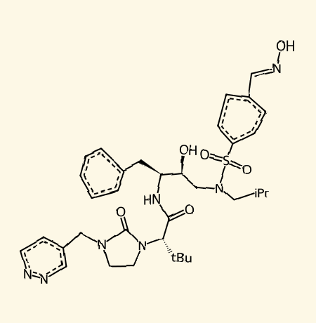 CC(C)CN(C[C@H](O)[C@H](Cc1ccccc1)NC(=O)[C@@H](N1CCN(Cc2ccnnc2)C1=O)C(C)(C)C)S(=O)(=O)c1ccc(C=NO)cc1